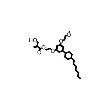 C=C(CO)C(=O)OCCOC1=CC(OCCOC)=CC(C2CCC(CCCCCCC)CC2)C1